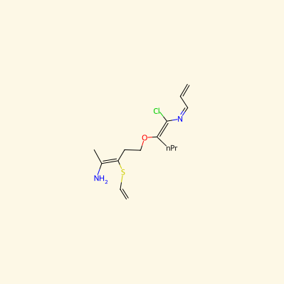 C=C/C=N\C(Cl)=C(/CCC)OCC/C(SC=C)=C(\C)N